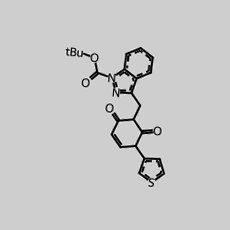 CC(C)(C)OC(=O)n1nc(CC2C(=O)C=CC(c3ccsc3)C2=O)c2ccccc21